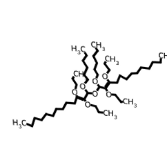 CCCCCCCCCCC(OCCC)=C(OCCC)C(OCCCCCC)OC(OCCCCCC)C(OCCC)=C(CCCCCCCCCC)OCCC